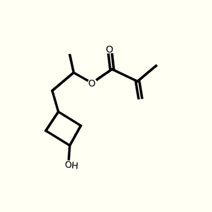 C=C(C)C(=O)OC(C)CC1CC(O)C1